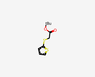 CC(C)(C)OC(=O)CSc1cccs1